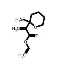 C=COC(=O)C(=C)C1([SiH3])CCCCO1